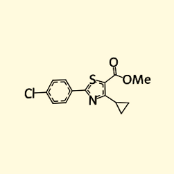 COC(=O)c1sc(-c2ccc(Cl)cc2)nc1C1CC1